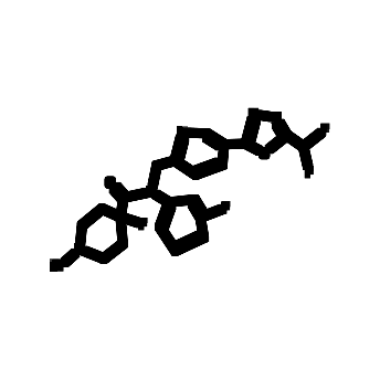 CC(C)N1CCC(F)(C(=O)N(Cc2ccc(-c3nnc(C(F)F)o3)cn2)c2cccc(F)c2)CC1